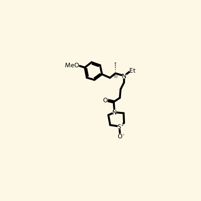 CCN(CCCC(=O)N1CC[S+]([O-])CC1)[C@@H](C)Cc1ccc(OC)cc1